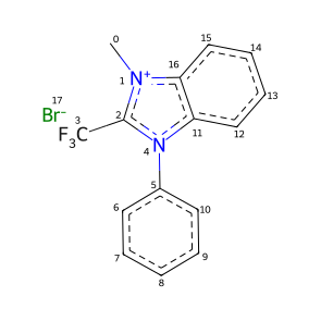 C[n+]1c(C(F)(F)F)n(-c2ccccc2)c2ccccc21.[Br-]